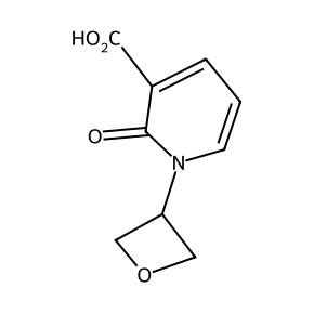 O=C(O)c1cccn(C2COC2)c1=O